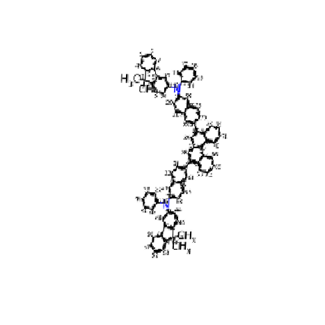 CC1(C)c2ccccc2-c2cc(N(c3ccccc3)c3ccc4cc(-c5cc6cc(-c7ccc8cc(N(c9ccccc9)c9ccc%10c(c9)-c9ccccc9C%10(C)C)ccc8c7)c7ccccc7c6c6ccccc56)ccc4c3)ccc21